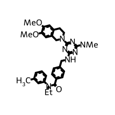 CCN(C(=O)c1ccc(CNc2nc(NC)nc(N3CCc4cc(OC)c(OC)cc4C3)n2)cc1)c1cccc(C)c1